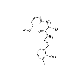 CCC(Nc1cccc(OC)c1)C(=O)NN=Cc1cccc(C)c1O